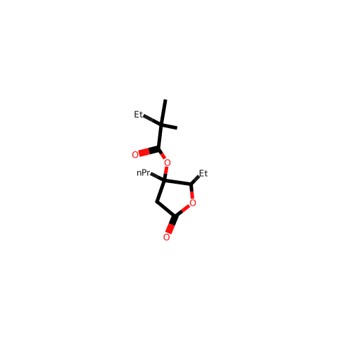 CCCC1(OC(=O)C(C)(C)CC)CC(=O)OC1CC